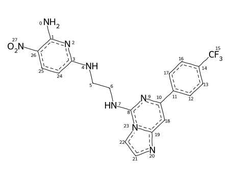 Nc1nc(NCCNc2nc(-c3ccc(C(F)(F)F)cc3)cc3nccn23)ccc1[N+](=O)[O-]